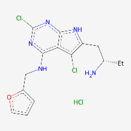 CC[C@H](N)Cc1[nH]c2nc(Cl)nc(NCc3ccco3)c2c1Cl.Cl